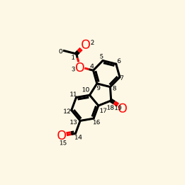 CC(=O)Oc1cccc2c1-c1ccc(C=O)cc1C2=O